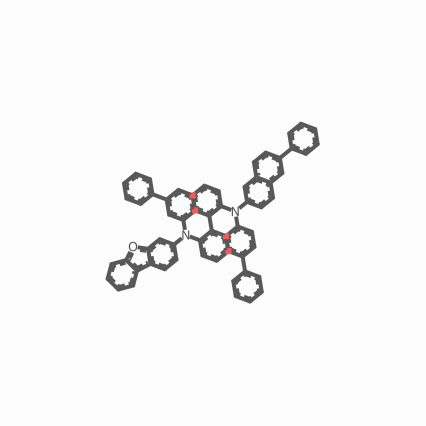 c1ccc(-c2ccc(N(c3ccc4cc(-c5ccccc5)ccc4c3)c3ccccc3-c3ccccc3N(c3cccc(-c4ccccc4)c3)c3ccc4c(c3)oc3ccccc34)cc2)cc1